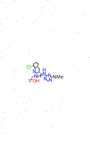 CNc1ncnc(N[C@@H](C)c2cc3cccc(Cl)c3nc2NCC2(O)CC2)n1